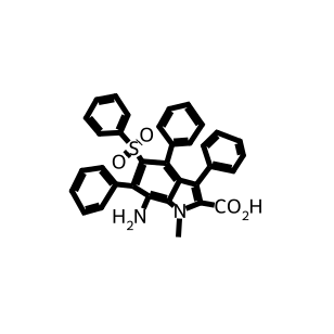 Cn1c(C(=O)O)c(-c2ccccc2)c2c(-c3ccccc3)c(S(=O)(=O)c3ccccc3)c(-c3ccccc3)c(N)c21